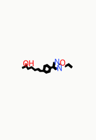 C=CCOc1ncc(-c2ccc(C=CCCCC(C)O)cc2)cn1